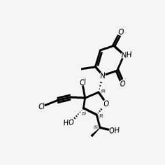 Cc1cc(=O)[nH]c(=O)n1[C@@H]1O[C@H]([C@H](C)O)[C@H](O)C1(Cl)C#CCl